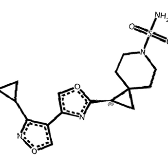 NS(=O)(=O)N1CCC2(CC1)C[C@H]2c1nc(-c2conc2C2CC2)co1